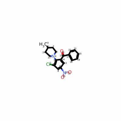 CC1CCN(c2c(Cl)cc([N+](=O)[O-])cc2C(=O)c2ccccc2)CC1